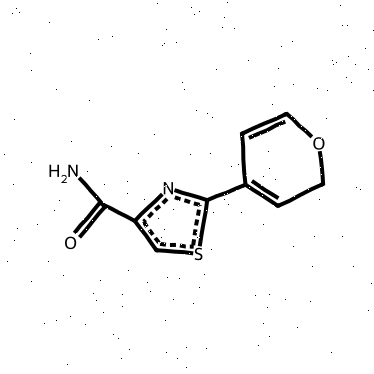 NC(=O)c1csc(C2=CCOC=C2)n1